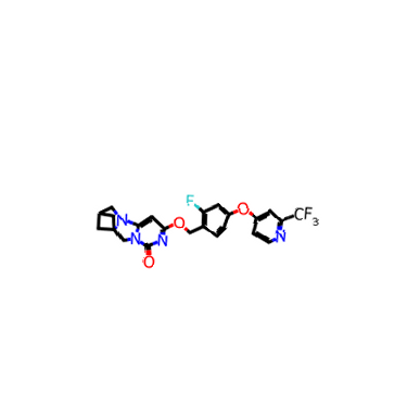 O=c1nc(OCc2ccc(Oc3ccnc(C(F)(F)F)c3)cc2F)cc2n1CC13CC(CN21)C3